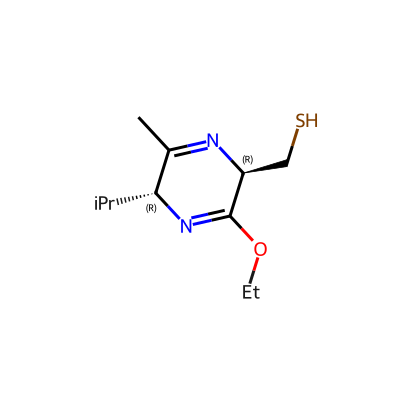 CCOC1=N[C@H](C(C)C)C(C)=N[C@H]1CS